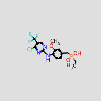 CCP(=O)(O)Cc1ccc(Nc2ncc(C(F)(F)F)c(Cl)n2)c(OC)c1